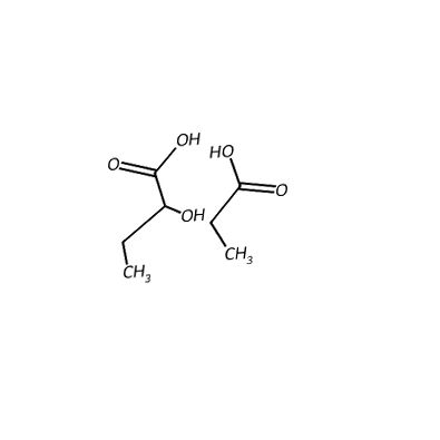 CCC(=O)O.CCC(O)C(=O)O